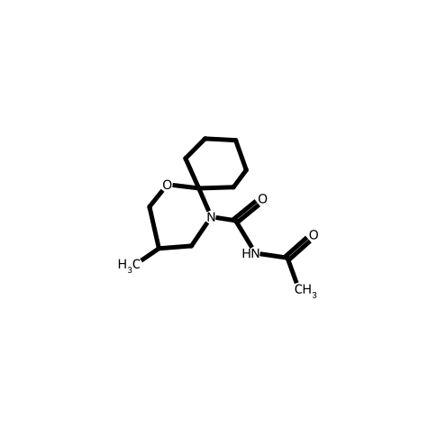 CC(=O)NC(=O)N1CC(C)COC12CCCCC2